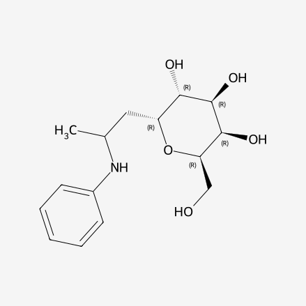 CC(C[C@H]1O[C@H](CO)[C@H](O)[C@H](O)[C@H]1O)Nc1ccccc1